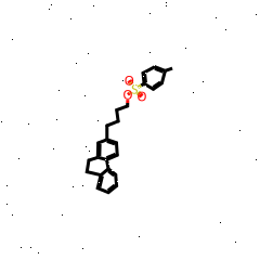 Cc1ccc(S(=O)(=O)OCCCCc2ccc3c(c2)CCc2ccccc2-3)cc1